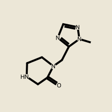 Cn1ncnc1CN1CCNCC1=O